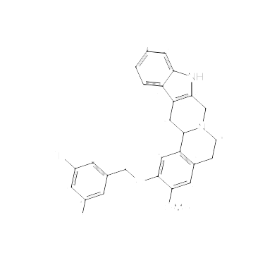 COc1cc2c(cc1OCc1cc(F)cc(F)c1)C1Cc3c([nH]c4ccccc34)CN1CC2